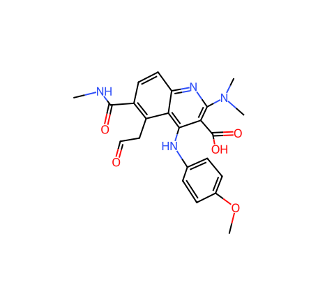 CNC(=O)c1ccc2nc(N(C)C)c(C(=O)O)c(Nc3ccc(OC)cc3)c2c1CC=O